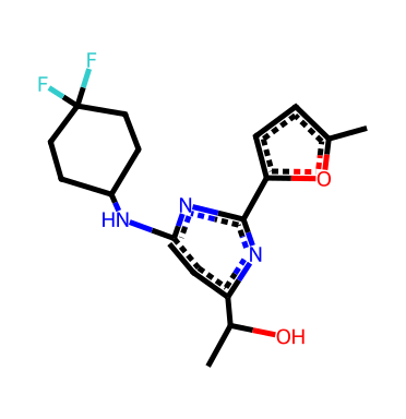 Cc1ccc(-c2nc(NC3CCC(F)(F)CC3)cc(C(C)O)n2)o1